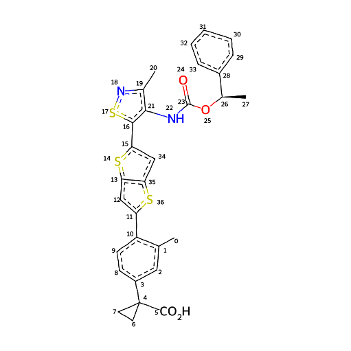 Cc1cc(C2(C(=O)O)CC2)ccc1-c1cc2sc(-c3snc(C)c3NC(=O)O[C@H](C)c3ccccc3)cc2s1